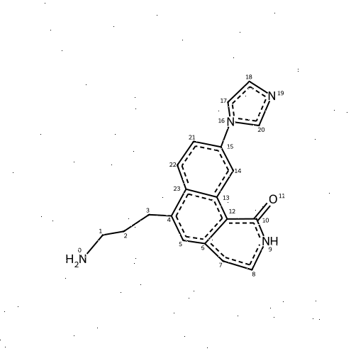 NCCCc1cc2cc[nH]c(=O)c2c2cc(-n3ccnc3)ccc12